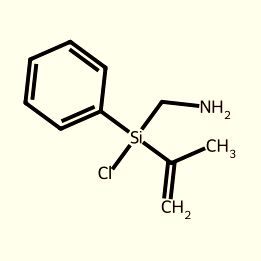 C=C(C)[Si](Cl)(CN)c1ccccc1